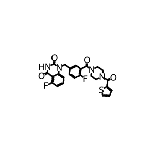 O=C(c1cccs1)N1CCN(C(=O)c2cc(Cn3c(=O)[nH]c(=O)c4c(F)cccc43)ccc2F)CC1